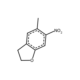 Cc1cc2c(cc1[N+](=O)[O-])OCC2